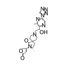 Cc1nc(-n2cnnn2)cnc1C(O)CN1CCC2(CC1)C[C@H](C)N(C1=CC(=O)OC1)C2=O